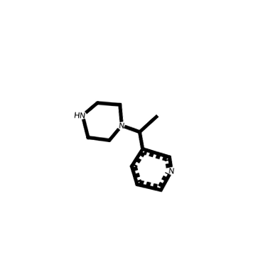 CC(c1cccnc1)N1CCNCC1